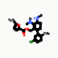 COc1ccc(C(=O)OCc2c(-c3cc(Cl)ccc3OC)ccc(NC(C)C)c2N(C)C(C)=O)o1